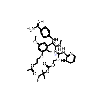 CNC(/N=C(\NC1=NC=CCN1)OCOC(=O)OC(C)(C)CF)[C@H](Nc1ccc(C(=N)N)cc1)c1cc(OC)cc(OCCOC(C)=O)c1F